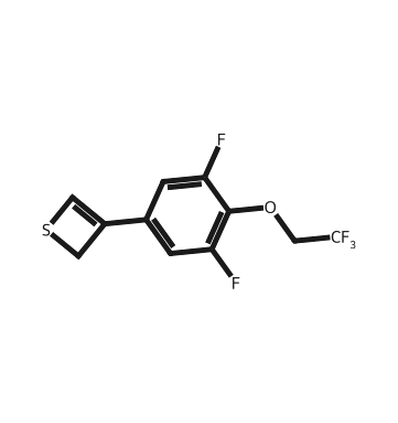 Fc1cc(C2=CSC2)cc(F)c1OCC(F)(F)F